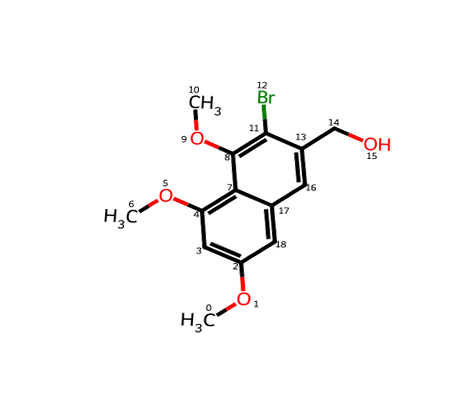 COc1cc(OC)c2c(OC)c(Br)c(CO)cc2c1